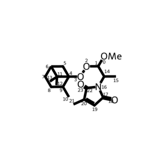 COC(OOC12CC(CCC1C)C2(C)C)C(C)N1C(=O)C=C(C)C1=O